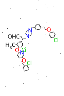 Cc1cc(/C(=C\C=O)CN2CCN(Cc3ccc(CCOc4ccc(Cl)cc4)cc3)CC2)cc(Cl)c1Oc1ccc(OCc2ccccc2Cl)cn1